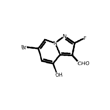 O=Cc1c(F)nn2cc(Br)cc(O)c12